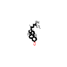 CC[C@H](CC[C@@H](C)[C@H]1CC[C@H]2[C@@H]3CC=C4CC(=O)CC[C@]4(C)[C@H]3CC[C@]12C)C(C)C